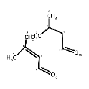 CC(C)=CC=O.CC(C)CC=O